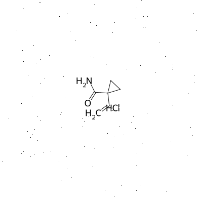 C=CC1(C(N)=O)CC1.Cl